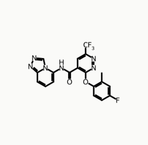 Cc1cc(F)ccc1Oc1nnc(C(F)(F)F)cc1C(=O)Nc1cccc2nncn12